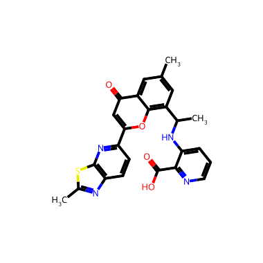 Cc1cc(C(C)Nc2cccnc2C(=O)O)c2oc(-c3ccc4nc(C)sc4n3)cc(=O)c2c1